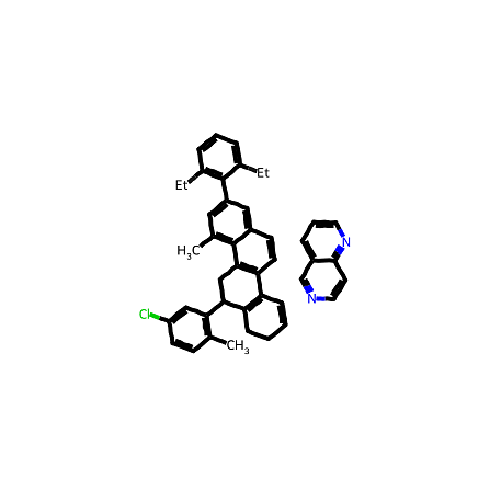 CCc1cccc(CC)c1-c1cc(C)c2c3c(ccc2c1)C1=C(CCC=C1)C(c1cc(Cl)ccc1C)C3.c1cnc2ccncc2c1